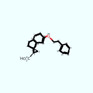 O=C(O)[C@@H]1C[C@]12CCc1ccc(OCCc3ccccc3)cc12